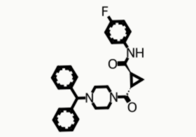 O=C(Nc1ccc(F)cc1)[C@H]1C[C@@H]1C(=O)N1CCN(C(c2ccccc2)c2ccccc2)CC1